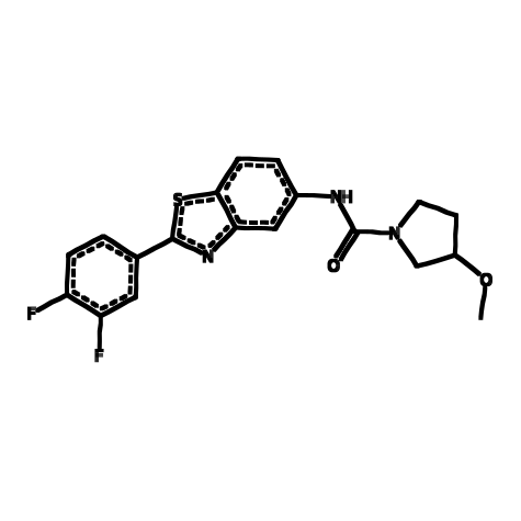 COC1CCN(C(=O)Nc2ccc3sc(-c4ccc(F)c(F)c4)nc3c2)C1